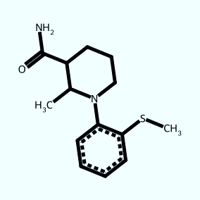 CSc1ccccc1N1CCCC(C(N)=O)C1C